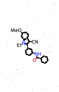 CCn1c(-c2cccc(NC(=O)c3ccccc3)c2)c(C#N)c2ccc(OC)cc21